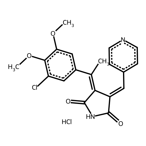 COc1cc(/C(C)=C2\C(=O)NC(=O)\C2=C\c2ccncc2)cc(Cl)c1OC.Cl